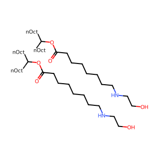 CCCCCCCCC(CCCCCCCC)OC(=O)CCCCCCCNCCO.CCCCCCCCC(CCCCCCCC)OC(=O)CCCCCCCNCCO